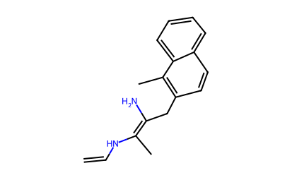 C=CN/C(C)=C(\N)Cc1ccc2ccccc2c1C